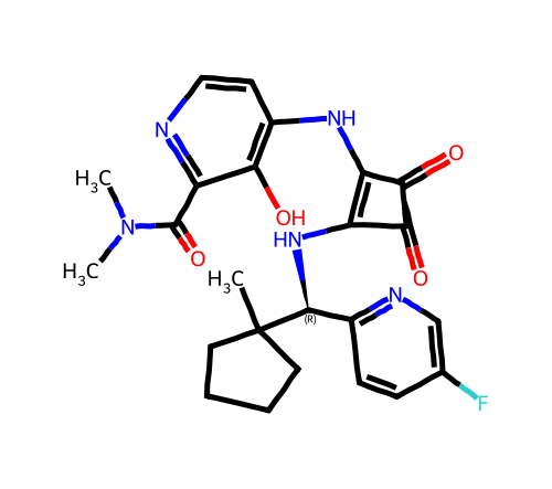 CN(C)C(=O)c1nccc(Nc2c(N[C@@H](c3ccc(F)cn3)C3(C)CCCC3)c(=O)c2=O)c1O